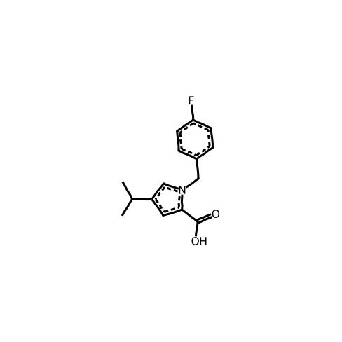 CC(C)c1cc(C(=O)O)n(Cc2ccc(F)cc2)c1